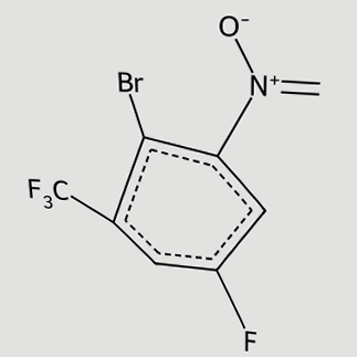 C=[N+]([O-])c1cc(F)cc(C(F)(F)F)c1Br